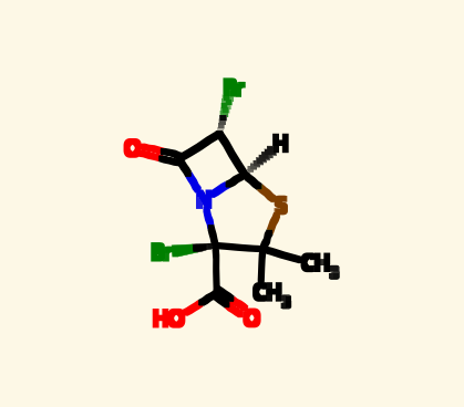 CC1(C)S[C@@H]2[C@@H](Br)C(=O)N2[C@@]1(Br)C(=O)O